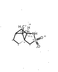 CC1(C)C2CC[C@]13CS(=O)(=O)N[C@@H]3C2